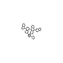 C1=CCC(c2ccc(-c3ccccc3)n2-c2ccc3c(-c4ccc5ccccc5c4)c4ccccc4c(-c4ccc(-c5cccc6ccccc56)cc4)c3c2)C=C1